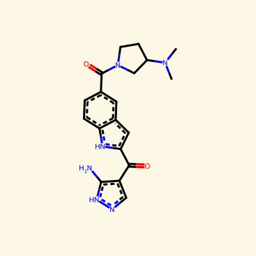 CN(C)C1CCN(C(=O)c2ccc3[nH]c(C(=O)c4cn[nH]c4N)cc3c2)C1